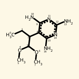 CCC([C](OC)OC)c1c(N)nc(N)nc1N